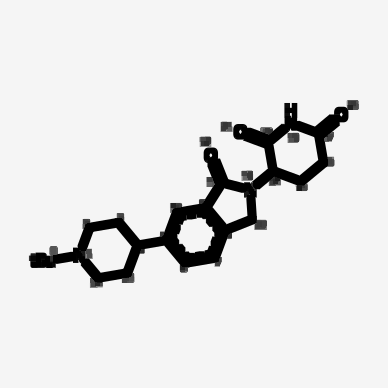 CC(C)(C)N1CCC(c2ccc3c(c2)C(=O)N(C2CCC(=O)NC2=O)C3)CC1